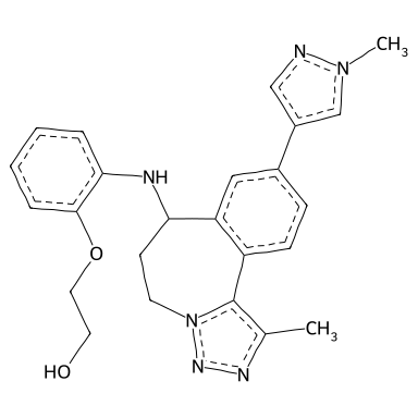 Cc1nnn2c1-c1ccc(-c3cnn(C)c3)cc1C(Nc1ccccc1OCCO)CC2